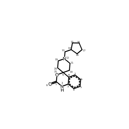 O=C1Nc2ccccc2C2(CCN(CC3CCCC3)CC2)O1